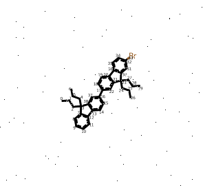 CCCC1(CCC)c2ccccc2-c2ccc(-c3ccc4c(c3)C(CCC)(CCC)c3cc(Br)ccc3-4)cc21